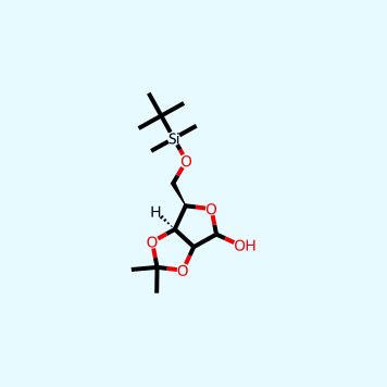 CC1(C)OC2C(O)O[C@H](CO[Si](C)(C)C(C)(C)C)[C@@H]2O1